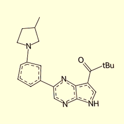 CC1CCN(c2cccc(-c3cnc4[nH]cc(C(=O)C(C)(C)C)c4n3)c2)C1